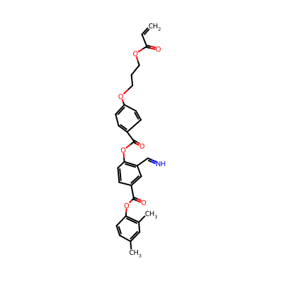 C=CC(=O)OCCCOc1ccc(C(=O)Oc2ccc(C(=O)Oc3ccc(C)cc3C)cc2C=N)cc1